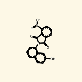 O=C1c2cccc([N+](=O)[O-])c2C(=O)N1c1cccc2ccc(O)cc12